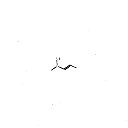 CC=CB(C)S